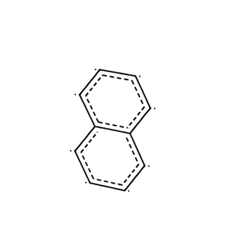 [c]1[c][c]c2[c][c][c][c]c2[c]1